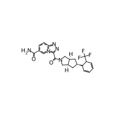 NC(=O)c1ccc2nnc(C(=O)N3C[C@H]4C[C@@H](C5C=CC=CC5C(F)(F)F)C[C@H]4C3)n2c1